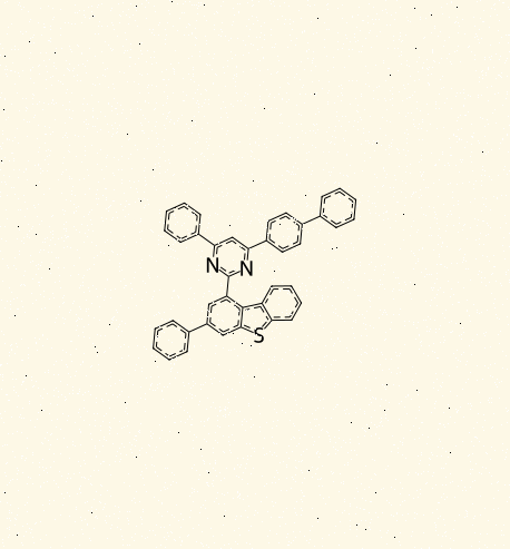 c1ccc(-c2ccc(-c3cc(-c4ccccc4)nc(-c4cc(-c5ccccc5)cc5sc6ccccc6c45)n3)cc2)cc1